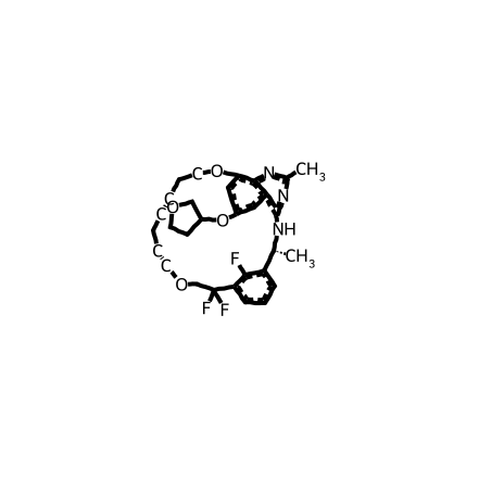 Cc1nc2c3cc(OC4CCOC4)cc(c3n1)OCCCCCCCOCC(F)(F)c1cccc(c1F)[C@@H](C)N2